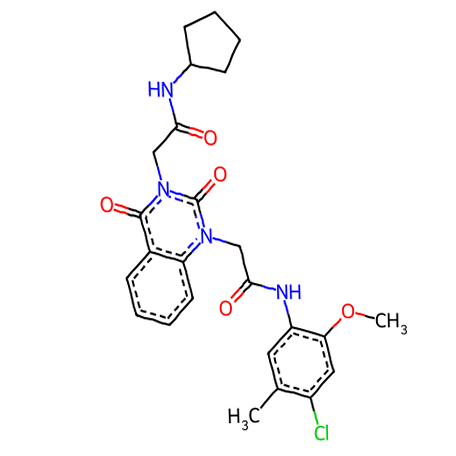 COc1cc(Cl)c(C)cc1NC(=O)Cn1c(=O)n(CC(=O)NC2CCCC2)c(=O)c2ccccc21